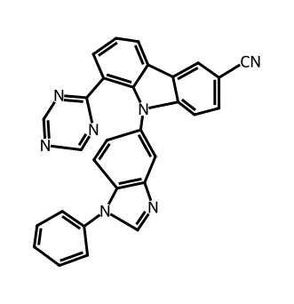 N#Cc1ccc2c(c1)c1cccc(-c3ncncn3)c1n2-c1ccc2c(c1)ncn2-c1ccccc1